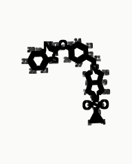 O=S(=O)(C1CC1)N1CC2CN(Cc3ccc(Oc4nc5ccccc5s4)cc3)CC2C1